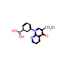 CCOC(=O)c1cn(C2=CC=CC(B(O)O)C2)c2ncccc2c1=O